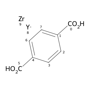 O=C(O)c1ccc(C(=O)O)cc1.[Y].[Zr]